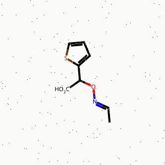 CC=NOC(C(=O)O)c1cccs1